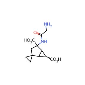 NCC(=O)NC1(C(=O)O)CC2(CC2)C2C1[C@H]2C(=O)O